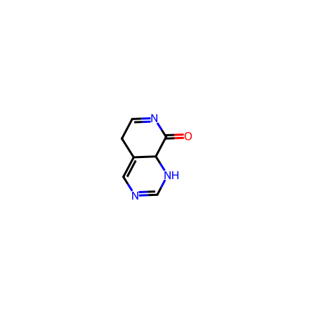 O=C1N=CCC2=CN=CNC12